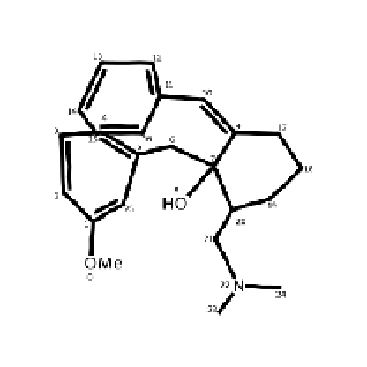 COc1cccc(CC2(O)/C(=C\c3ccccc3)CCCC2CN(C)C)c1